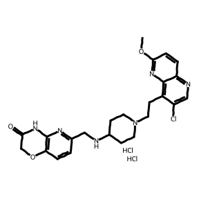 COc1ccc2ncc(Cl)c(CCN3CCC(NCc4ccc5c(n4)NC(=O)CO5)CC3)c2n1.Cl.Cl